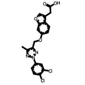 Cc1nn(-c2ccc(Cl)c(Cl)c2)nc1COc1ccc2c(CC(=O)O)coc2c1